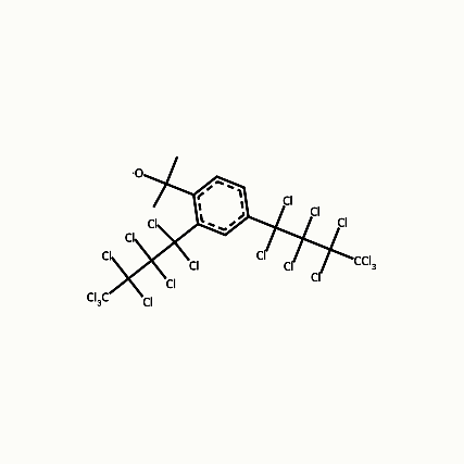 CC(C)([O])c1ccc(C(Cl)(Cl)C(Cl)(Cl)C(Cl)(Cl)C(Cl)(Cl)Cl)cc1C(Cl)(Cl)C(Cl)(Cl)C(Cl)(Cl)C(Cl)(Cl)Cl